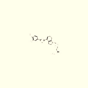 COC(=O)CCS(=O)(=O)N[C@H]1CCC2=C1CCC=C2c1noc(-c2ccc(OC(C)C)c(N)c2)n1